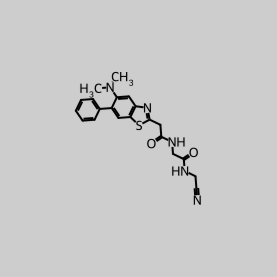 CN(C)c1cc2nc(CC(=O)NCC(=O)NCC#N)sc2cc1-c1ccccc1